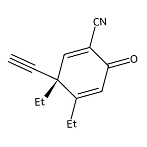 C#C[C@]1(CC)C=C(C#N)C(=O)C=C1CC